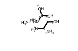 N.N.N.NCCO.OB(O)O